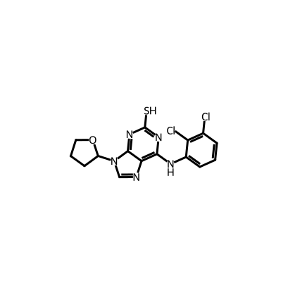 Sc1nc(Nc2cccc(Cl)c2Cl)c2ncn(C3CCCO3)c2n1